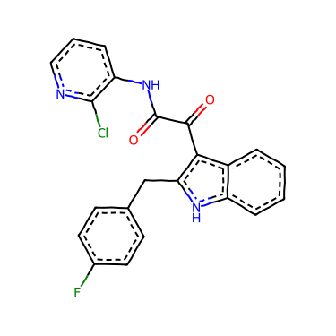 O=C(Nc1cccnc1Cl)C(=O)c1c(Cc2ccc(F)cc2)[nH]c2ccccc12